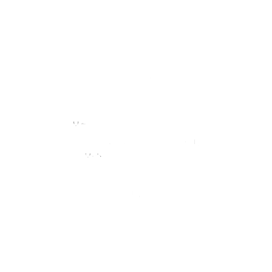 CNC(=O)C(OC)c1ccc(Cl)cc1COc1cc(C)ccc1C